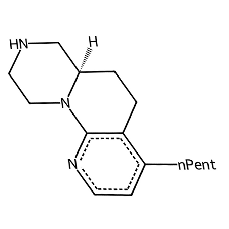 CCCCCc1ccnc2c1CC[C@@H]1CNCCN21